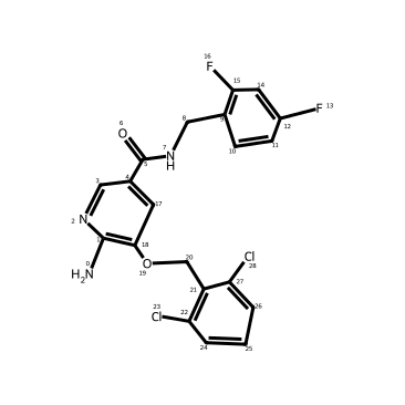 Nc1ncc(C(=O)NCc2ccc(F)cc2F)cc1OCc1c(Cl)cccc1Cl